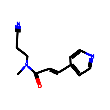 CN(CCC#N)C(=O)/C=C/c1ccncc1